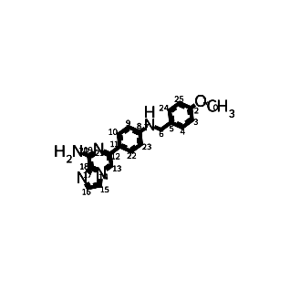 COc1ccc(CNc2ccc(-c3cn4ccnc4c(N)n3)cc2)cc1